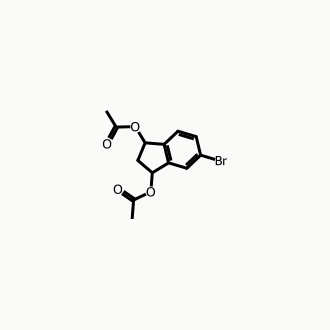 CC(=O)OC1CC(OC(C)=O)c2cc(Br)ccc21